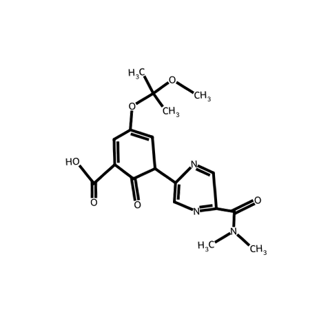 COC(C)(C)OC1=CC(c2cnc(C(=O)N(C)C)cn2)C(=O)C(C(=O)O)=C1